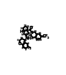 Cc1ccc2c(c1)[C@@H](N[C@@H]1C[C@H]3CCC[C@@]3(C(=O)N3CCc4ncc(C(F)(F)F)cc4C3)C1)CCO2